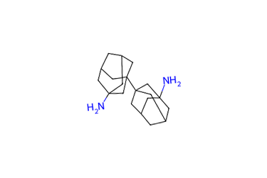 NC12CC3CC(C1)CC(C14CC5CC(CC(N)(C5)C1)C4)(C3)C2